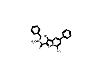 CN(Cc1ccccc1)C(=O)c1nn2c(C(F)(F)F)cc(-c3ccccc3)nc2c1Br